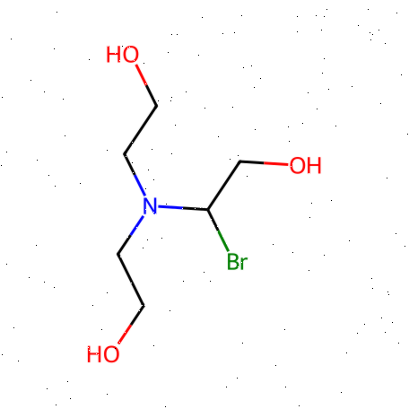 OCCN(CCO)C(Br)CO